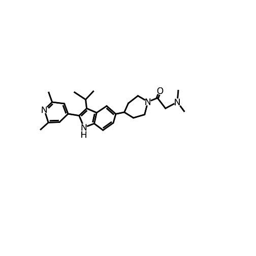 Cc1cc(-c2[nH]c3ccc(C4CCN(C(=O)CN(C)C)CC4)cc3c2C(C)C)cc(C)n1